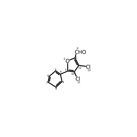 O=Cc1oc(-c2ccccc2)c(Cl)c1Cl